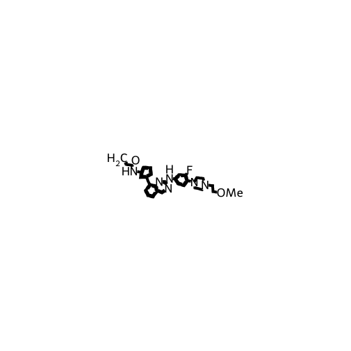 C=CC(=O)Nc1cccc(-c2cccc3cnc(Nc4ccc(N5CCN(CCOC)CC5)c(F)c4)nc23)c1